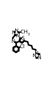 Cc1nnc2n1-c1sc(CCCCCn3cncn3)cc1C(c1ccccc1Cl)=NC2